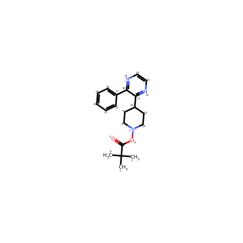 CC(C)(C)C(=O)ON1CCC(c2nccnc2-c2ccccc2)CC1